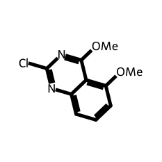 COc1cccc2nc(Cl)nc(OC)c12